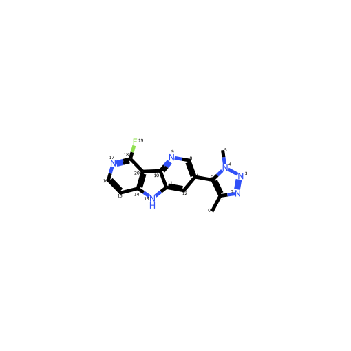 Cc1nnn(C)c1-c1cnc2c(c1)[nH]c1ccnc(F)c12